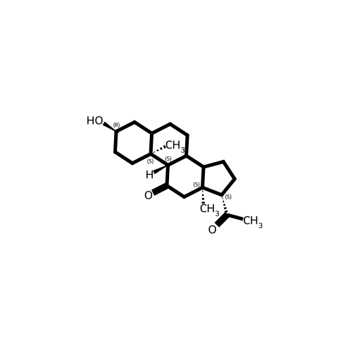 CC(=O)[C@H]1CCC2C3CCC4C[C@H](O)CC[C@]4(C)[C@H]3C(=O)C[C@@]21C